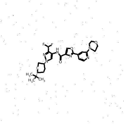 CC(C)(C)[C@H]1CC[C@H](n2cc(NC(=O)c3coc(-c4ccnc(N5CCOCC5)c4)n3)c(C(F)F)n2)CC1